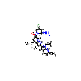 COc1cc(C(=O)N2C[C@H](N)C[C@@H](F)C2)cn2nc(-c3cc4ccc(C)nc4n3CC3CC3)c(C)c12